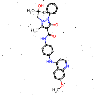 COc1ccc2c(Nc3ccc(NC(=O)c4c(C)n(CC(C)(C)O)n(-c5ccccc5)c4=O)cc3)ccnc2c1